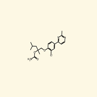 Cc1nccc(-c2ccc(OCC(C)(CC(C)C)OC(N)=O)c(Cl)c2)n1